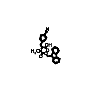 CN(C(=O)OCC1c2ccccc2-c2ccccc21)C(Cc1ccc(C#N)cc1)C(=O)O